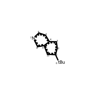 CC(C)(C)c1ccc2[c]cncc2c1